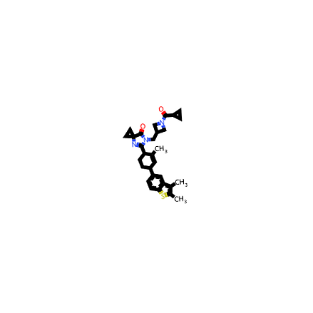 CC1=CC(c2ccc3sc(C)c(C)c3c2)CCC1C1=NC2(CC2)C(=O)N1CC1CN(C(=O)C2CC2)C1